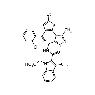 CCc1cc(C(=O)c2ccccc2Cl)c(-n2c(C)nnc2CNC(=O)c2c(C)c3ccccc3n2CC(=O)O)s1